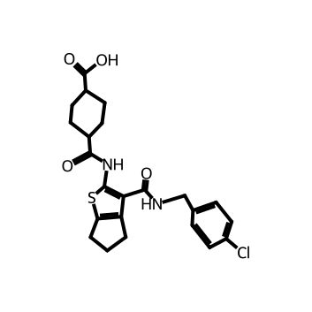 O=C(NCc1ccc(Cl)cc1)c1c(NC(=O)C2CCC(C(=O)O)CC2)sc2c1CCC2